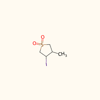 CC1CS(=O)(=O)CC1I